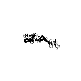 CC(C)(C)OC(=O)CC1(C(=O)NCc2nc3cc(OCCC[N+](C)(C)C)ccc3s2)Cc2ccccc2C1